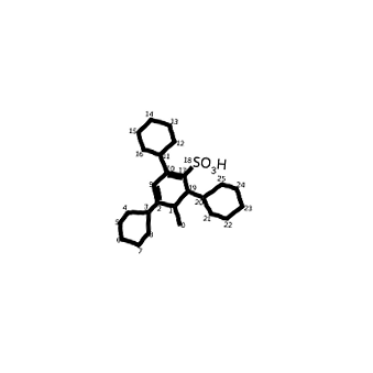 CC1C(C2CCCCC2)=CC(C2CCCCC2)=C(S(=O)(=O)O)C1C1CCCCC1